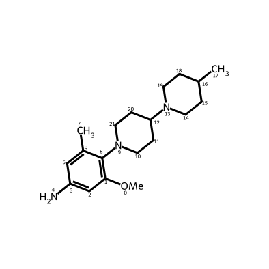 COc1cc(N)cc(C)c1N1CCC(N2CCC(C)CC2)CC1